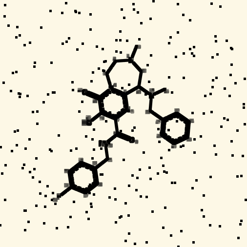 CN1CCn2c(nc(C(=O)NCc3ccc(F)cc3)c(O)c2=O)C(N(C)Cc2ccccc2)C1